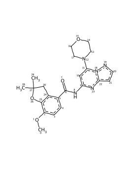 COc1ccc(C(=O)Nc2cc(N3CCOCC3)n3nccc3n2)c2c1OC(C)(C)C2